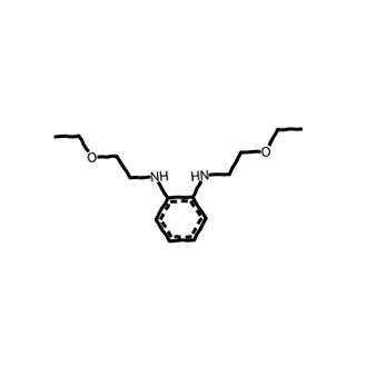 CCOCCNc1ccccc1NCCOCC